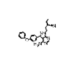 CC=C(C#N)CCn1nc(-c2ccc(Oc3ccccc3)cc2)c2c(N)ncnc21